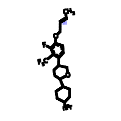 C/C=C/COc1ccc(C2CCC(C3CCC(CCC)CC3)OC2)c(C(F)(F)F)c1F